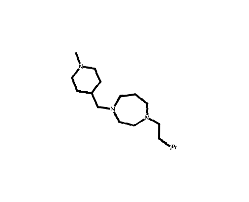 CC(C)CCN1CCCN(CC2CCN(C)CC2)CC1